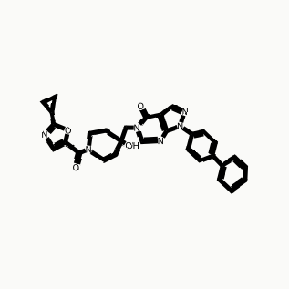 O=C(c1cnc(C2CC2)o1)N1CCC(O)(Cn2cnc3c(cnn3-c3ccc(-c4ccccc4)cc3)c2=O)CC1